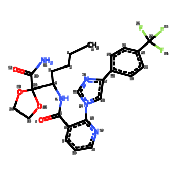 CCCCC(NC(=O)c1cccnc1-n1cnc(-c2ccc(C(F)(F)F)cc2)c1)C1(C(N)=O)OCCO1